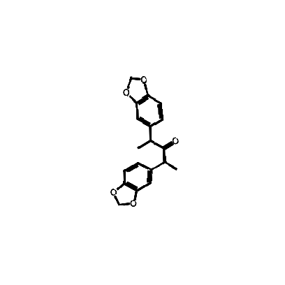 CC(C(=O)C(C)c1ccc2c(c1)OCO2)c1ccc2c(c1)OCO2